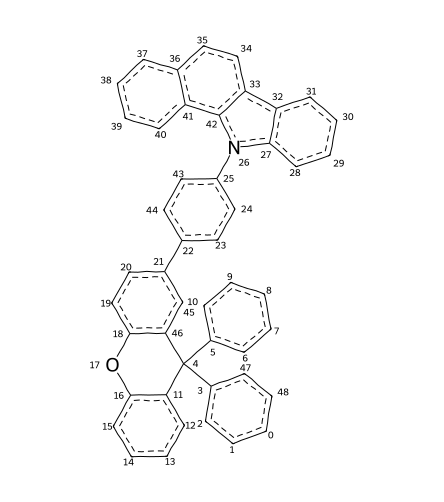 c1ccc(C2(c3ccccc3)c3ccccc3Oc3ccc(-c4ccc(-n5c6ccccc6c6ccc7ccccc7c65)cc4)cc32)cc1